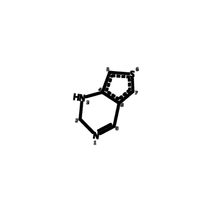 C1=NCNc2cscc21